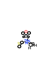 c1ccc2c(c1)Oc1ccccc1C21c2ccccc2-c2c(-c3nc(-c4ccc5sc6ccccc6c5c4)nc(C45CC6C[C@@H]7C[C@@H](C4)CC67C5)n3)cccc21